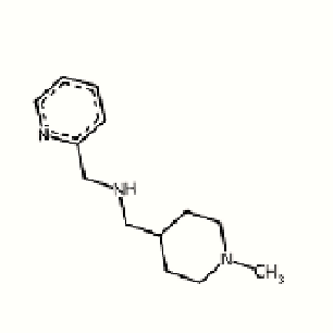 CN1CCC(CNCc2ccccn2)CC1